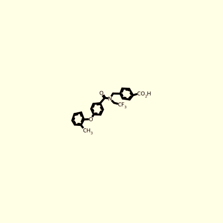 Cc1ccccc1Oc1ccc(C(=O)N(Cc2ccc(C(=O)O)cc2)CC(F)(F)F)cc1